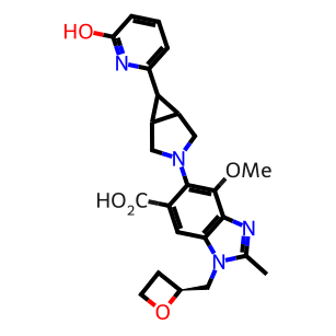 COc1c(N2CC3C(C2)C3c2cccc(O)n2)c(C(=O)O)cc2c1nc(C)n2C[C@@H]1CCO1